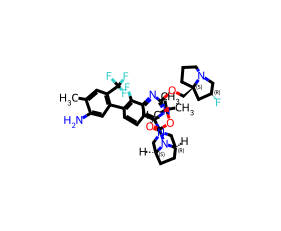 Cc1cc(C(F)(F)F)c(-c2ccc3c(N4C[C@H]5CC[C@@H](C4)N5C(=O)OC(C)(C)C)nc(OC[C@@]45CCCN4C[C@H](F)C5)nc3c2F)cc1N